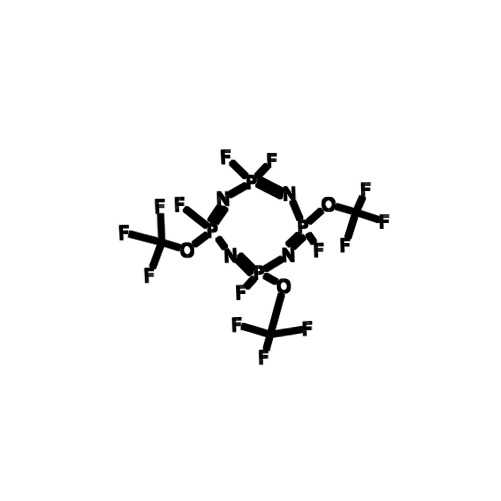 FC(F)(F)OP1(F)=NP(F)(F)=NP(F)(OC(F)(F)F)=NP(F)(OC(F)(F)F)=N1